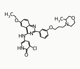 CCOc1ccc2nc(-c3cccc(OCCCN4CCOCC4C)c3)nc(Nc3c[nH]c(=O)c(Cl)c3)c2c1